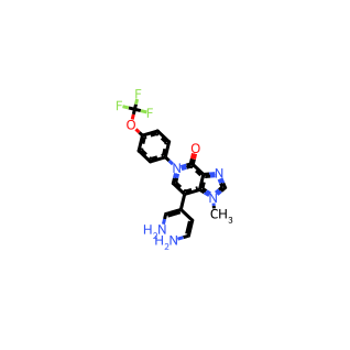 Cn1cnc2c(=O)n(-c3ccc(OC(F)(F)F)cc3)cc(C(/C=C\N)=C/N)c21